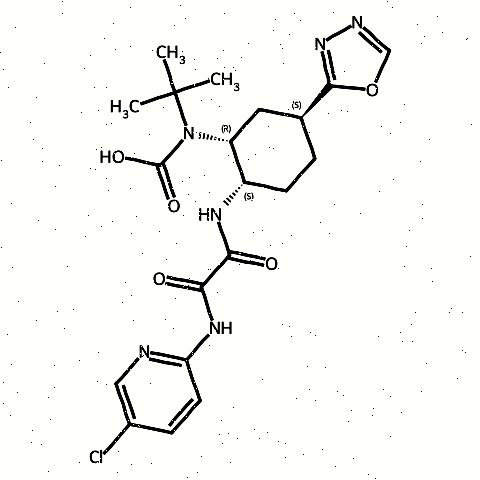 CC(C)(C)N(C(=O)O)[C@@H]1C[C@@H](c2nnco2)CC[C@@H]1NC(=O)C(=O)Nc1ccc(Cl)cn1